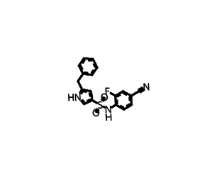 N#Cc1ccc(NS(=O)(=O)c2c[nH]c(Cc3ccccc3)c2)c(F)c1